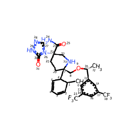 CC1C=CC=CC1[C@]1(CO[C@H](C)c2cc(C(F)(F)F)cc(C(F)(F)F)c2)CC[C@](C(N)=O)(n2cn[nH]c2=O)CN1